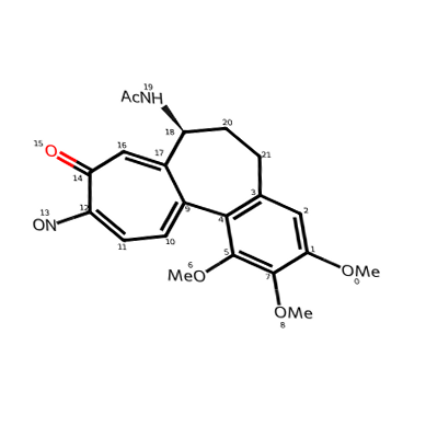 COc1cc2c(c(OC)c1OC)-c1ccc(N=O)c(=O)cc1[C@@H](NC(C)=O)CC2